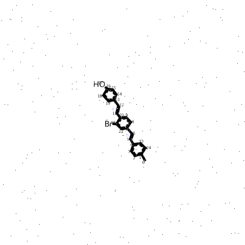 Cc1ccc(/C=C/c2ccc(/C=C/c3ccc(O)cc3)c(Br)c2)cc1